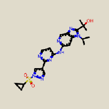 CC(C)n1c(C(C)(C)O)nc2cnc(Nc3ccnc(-c4cnn(S(=O)(=O)C5CC5)c4)n3)cc21